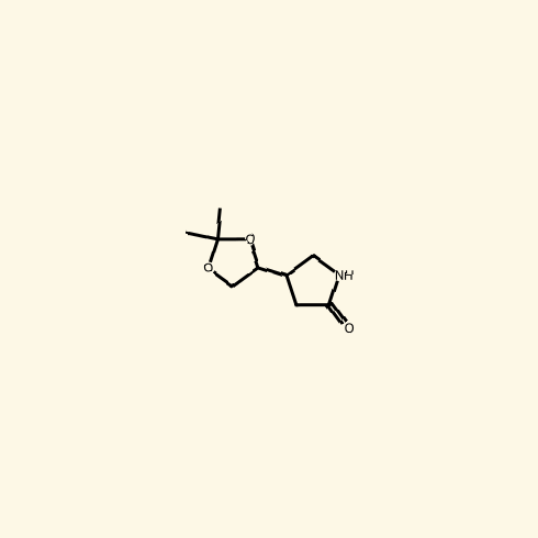 CC1(C)OCC(C2CNC(=O)C2)O1